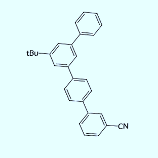 CC(C)(C)c1cc(-c2ccccc2)cc(-c2ccc(-c3cccc(C#N)c3)cc2)c1